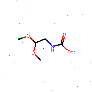 COC(CNC(=O)O)OC